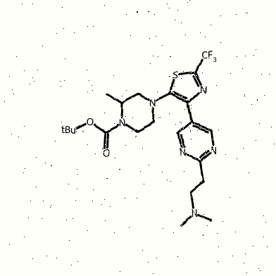 CC1CN(c2sc(C(F)(F)F)nc2-c2cnc(CCN(C)C)nc2)CCN1C(=O)OC(C)(C)C